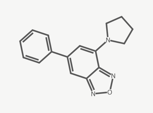 c1ccc(-c2cc(N3CCCC3)c3nonc3c2)cc1